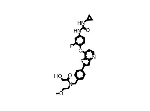 COCCN(Cc1ccc(-c2cc3nccc(Oc4ccc(NC(=O)NC5CC5)cc4F)c3s2)cc1)C(=O)CO